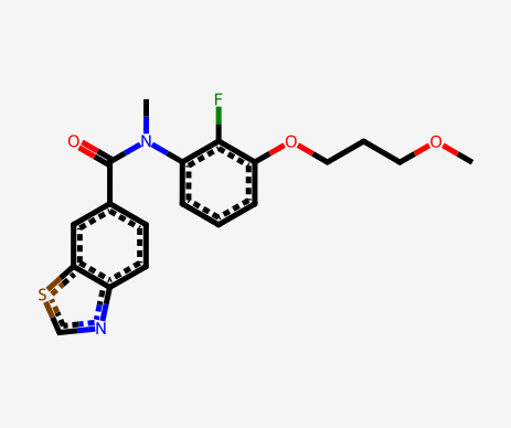 COCCCOc1cccc(N(C)C(=O)c2ccc3ncsc3c2)c1F